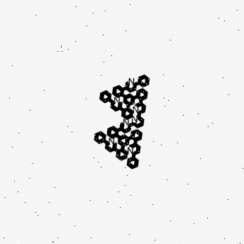 c1ccc(-c2ccc(-c3ccccc3-c3cc(-c4ccccc4-c4ccc(-c5ccccc5)nc4)cc(-c4ccccc4-c4ccc(-c5cccc(-c6ccc(-c7ccccc7-c7cc(-c8ccccc8-c8ccc(-c9ccccc9)nc8)cc(-c8ccccc8-c8ccc(-c9ccccc9)nc8)c7)cn6)n5)nc4)c3)cn2)cc1